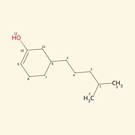 CC(C)CCCC1CCC=C(O)C1